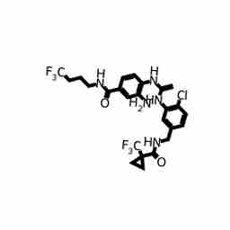 C=C(Nc1ccc(C(=O)NCCCC(F)(F)F)cc1N)Nc1cc(CNC(=O)C2(C(F)(F)F)CC2)ccc1Cl